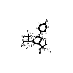 CC1(CF)COc2c1cc([C@@](O)(CN)C(F)(F)F)nc2-c1ccc(F)cc1